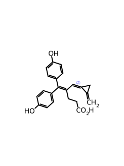 C=C1C/C1=C/C(CCC(=O)O)=C(c1ccc(O)cc1)c1ccc(O)cc1